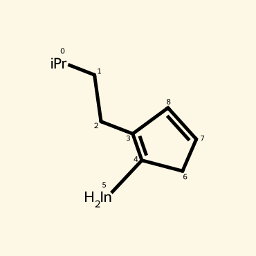 CC(C)CCC1=[C]([InH2])CC=C1